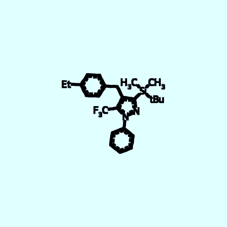 CCc1ccc(Cc2c([Si](C)(C)C(C)(C)C)nn(-c3ccccc3)c2C(F)(F)F)cc1